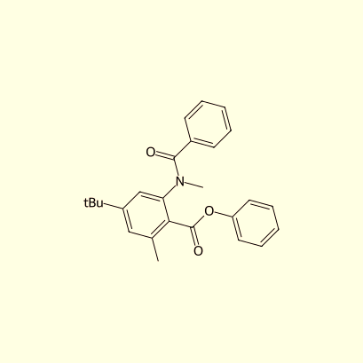 Cc1cc(C(C)(C)C)cc(N(C)C(=O)c2ccccc2)c1C(=O)Oc1ccccc1